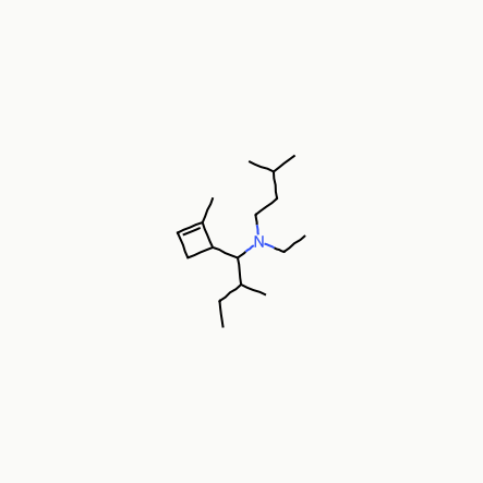 CCC(C)C(C1CC=C1C)N(CC)CCC(C)C